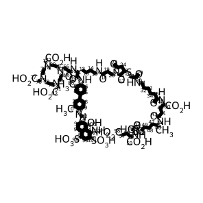 Cc1cc(-c2ccc(NC(=O)[C@@H](CCCCNC(=O)CCN3C(=O)CC(SCC(=O)NCCCCCC(=O)NC(CCC(=O)N[C@H](C)CCCOP(=O)(O)NC(CCC(=O)O)C(=O)O)C(=O)O)C3=O)NC(=O)CN3CCN(CC(=O)O)CCN(CC(=O)O)CCN(CC(=O)O)CC3)c(C)c2)ccc1N=Nc1ccc2c(S(=O)(=O)O)cc(S(=O)(=O)O)c(N)c2c1O